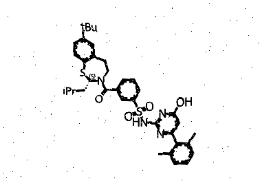 Cc1cccc(C)c1-c1cc(O)nc(NS(=O)(=O)c2cccc(C(=O)N3CCc4cc(C(C)(C)C)ccc4S[C@H]3CC(C)C)c2)n1